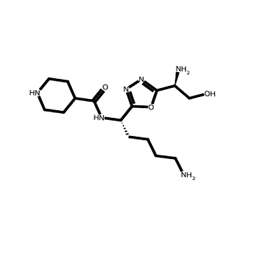 NCCCC[C@H](NC(=O)C1CCNCC1)c1nnc([C@@H](N)CO)o1